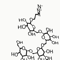 [N-]=[N+]=NCCOC1OC(CO[C@@H]2O[C@H](COC3OC(CO[C@@H]4O[C@H](CO)C(O)[C@H](O)C4O)[C@@H](O)C(O)[C@H]3O)C(O)[C@H](O)C2O)[C@@H](O)C(O)[C@H]1O